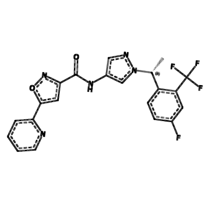 C[C@H](c1ccc(F)cc1C(F)(F)F)n1cc(NC(=O)c2cc(-c3ccccn3)on2)cn1